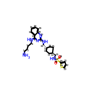 NCCCCNc1nc(NC[C@H]2CC[C@H](CNS(=O)(=O)c3cccs3)CC2)nc2ccccc12